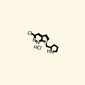 Cl.Clc1cc2ccn(CC3CCCN3)c2nn1